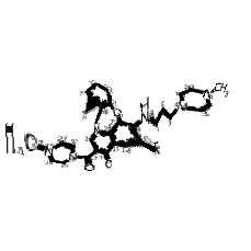 CN1CCN(CCCNc2c(F)cc3c(=O)c(C(=O)N4CCN(C)CC4)cn4c3c2Oc2ccccc2-4)CC1